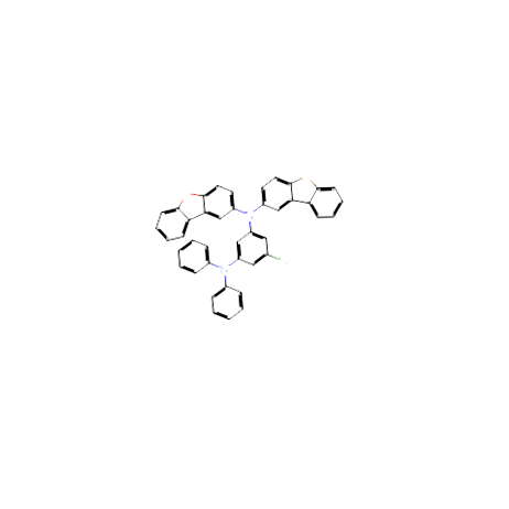 Brc1cc(N(c2ccccc2)c2ccccc2)cc(N(c2ccc3oc4ccccc4c3c2)c2ccc3sc4ccccc4c3c2)c1